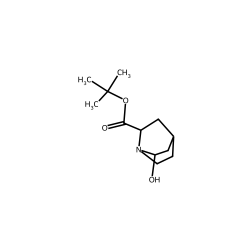 CC(C)(C)OC(=O)C1CC2CCN1C(O)C2